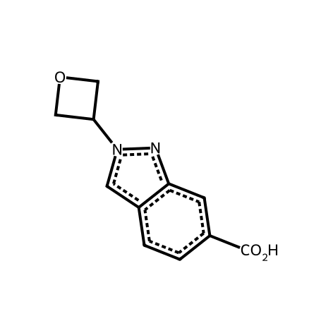 O=C(O)c1ccc2cn(C3COC3)nc2c1